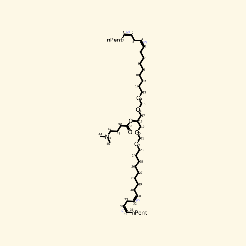 CCCCC/C=C\C/C=C\CCCCCCCCOCOCC(COCOCCCCCCCC/C=C\C/C=C\CCCCC)OC(=O)CCCN(C)C